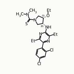 CCO[C@H]1CN(C(=S)N(C)C)C[C@H]1Nc1nc(CC)c(-c2ccc(Cl)cc2Cl)nc1CC